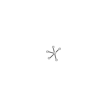 [Cl][Li]([Cl])([Cl])([Cl])[Cl]